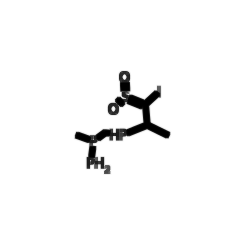 CC(PCP(C)P)C(I)=S(=O)=O